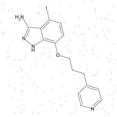 Nc1n[nH]c2c(OCCCc3ccncc3)ccc(I)c12